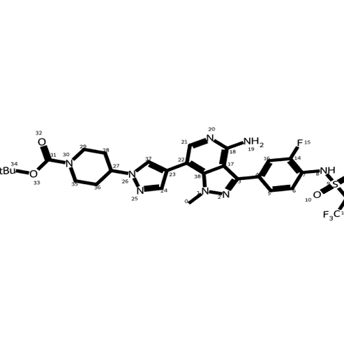 Cn1nc(-c2ccc(NS(=O)(=O)CC(F)(F)F)c(F)c2)c2c(N)ncc(-c3cnn(C4CCN(C(=O)OC(C)(C)C)CC4)c3)c21